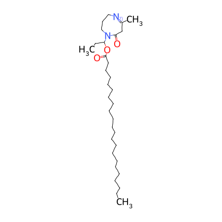 CCCCCCCCCCCCCCCCCCCCCC(=O)OC(CC)N1CCC/N=C(/C)CC1=O